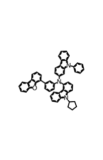 c1ccc(-n2c3ccccc3c3ccc(N(c4cccc(-c5cccc6c5oc5ccccc56)c4)c4cccc5c4c4ccccc4n5C4CCCC4)cc32)cc1